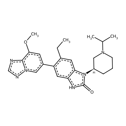 CCc1cc2c(cc1-c1cc(OC)c3ncnn3c1)[nH]c(=O)n2[C@@H]1CCCN(C(C)C)C1